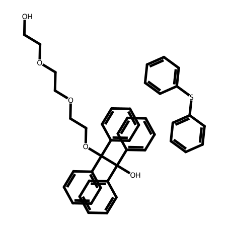 OCCOCCOCCOC(c1ccccc1)(c1ccccc1)C(O)(c1ccccc1)c1ccccc1.c1ccc(Sc2ccccc2)cc1